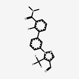 CN(C)C(=O)c1cccc(-c2cccc(-n3ncc(C=O)c3C(F)(F)F)c2)c1F